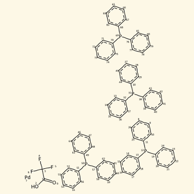 O=C(O)C(F)(F)F.[Pd].c1ccc(P(c2ccccc2)c2ccccc2)cc1.c1ccc(P(c2ccccc2)c2ccccc2)cc1.c1ccc(P(c2ccccc2)c2ccccc2)cc1.c1ccc(P(c2ccccc2)c2ccccc2)cc1